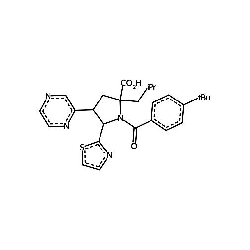 CC(C)CC1(C(=O)O)CC(c2cnccn2)C(c2nccs2)N1C(=O)c1ccc(C(C)(C)C)cc1